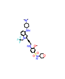 COc1cc(S(=O)(=O)NC2CCOCC2)ccc1NCC#Cc1cc2c(N[C@H]3CC[C@@H](N(C)C)CC3)cccc2n1CC(F)(F)F